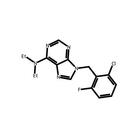 CCN(CC)c1ncnc2c1ncn2Cc1c(F)cccc1Cl